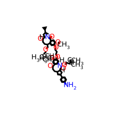 COc1cc2c(cc1OCCCOc1cc3c(cc1OC)C(=O)CCC1C=C(c4ccc(N)cc4)C[C@H]1C(=O)N3COCC[Si](C)(C)C)C(COCC[Si](C)(C)C)CCC(=O)[C@@H]1CC(C3CC3)=CN1C2=O